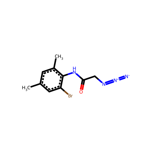 Cc1cc(C)c(NC(=O)CN=[N+]=[N-])c(Br)c1